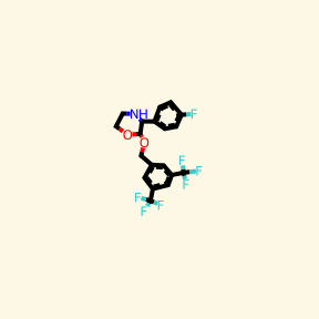 Fc1ccc(C2NCCOC2OCc2cc(C(F)(F)F)cc(C(F)(F)F)c2)cc1